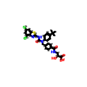 CC(C)(C)c1ccc(N(Cc2ccc(C(=O)NC[C@@H](O)C(=O)O)cc2)C(=O)Nc2nc3c(Cl)cc(Cl)cc3s2)cc1